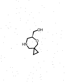 OC[C@@H]1CNCC2(CC2)CO1